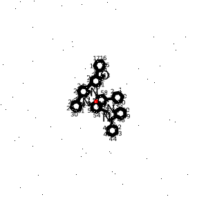 c1ccc(-c2cccc(-n3c4cc5oc6ccccc6c5cc4c4ccc5c6ccccc6n(-c6ccc(-c7nc(-c8ccccc8)c8ccccc8n7)cc6)c5c43)c2)cc1